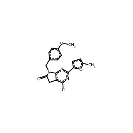 COc1ccc(CN2C(=O)Cc3c(Cl)nc(-c4ccc(C)o4)nc32)cc1